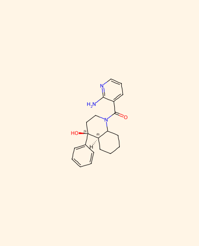 Nc1ncccc1C(=O)N1CC[C@@](O)(c2ccccc2)[C@@H]2CCCCC21